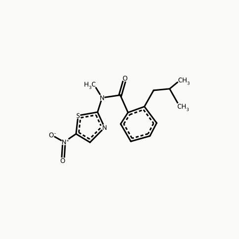 CC(C)Cc1ccccc1C(=O)N(C)c1ncc([N+](=O)[O-])s1